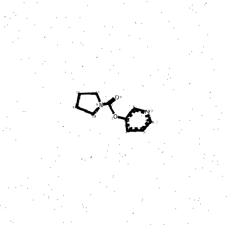 O=C(Oc1cccnc1)N1CCCC1